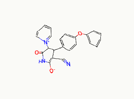 N#CC1=C([O-])NC(=O)C([n+]2ccccc2)C1c1ccc(Oc2ccccc2)cc1